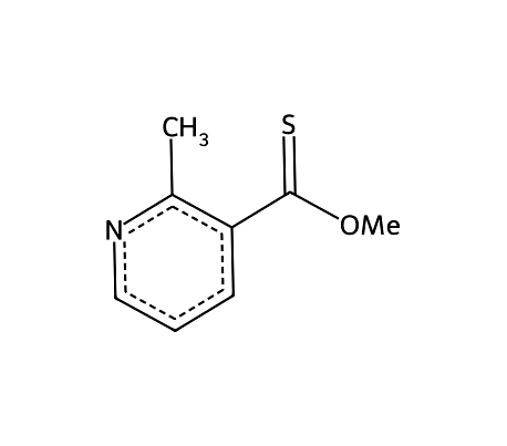 COC(=S)c1cccnc1C